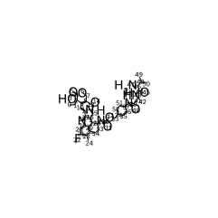 CC[C@@]1(O)C(=O)OCc2c1cc1n(c2=O)Cc2c-1nc1cc(F)c(C)c3c1c2[C@@H](NC(=O)OCc1ccc(NC(=O)[C@@H](C)NC(=O)[C@H](N)C(C)C)cc1)CC3